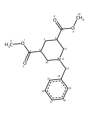 COC(=O)C1CC(C(=O)OC)CN(Cc2ccccc2)C1